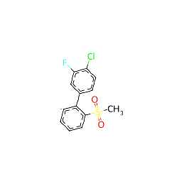 CS(=O)(=O)c1ccc[c]c1-c1ccc(Cl)c(F)c1